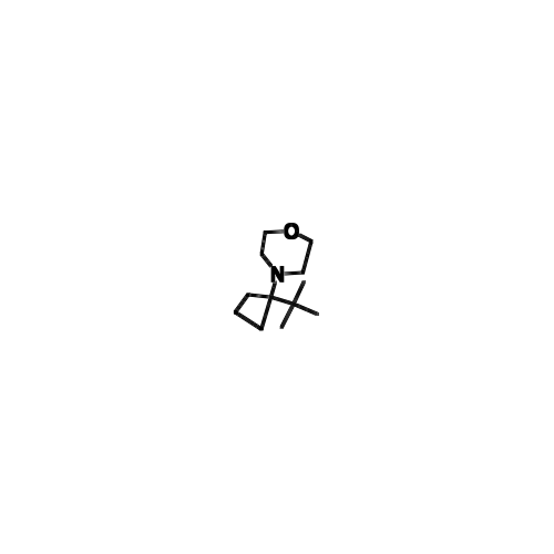 CC(C)(C)C1(N2CCOCC2)CCC1